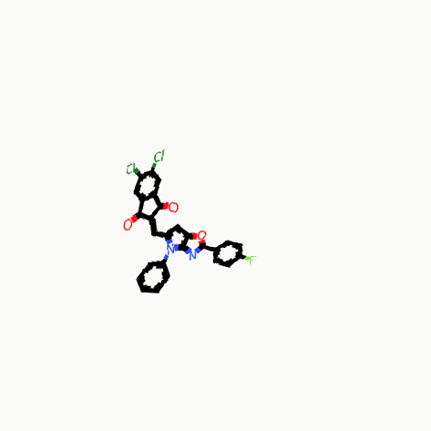 O=C1C(=Cc2cc3oc(-c4ccc(F)cc4)nc3n2-c2ccccc2)C(=O)c2cc(Cl)c(Cl)cc21